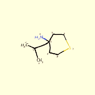 CC(C)C1(N)CCSCC1